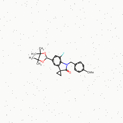 COc1ccc(CN2C(=O)C3(CC3)c3cc(B4OC(C)(C)C(C)(C)O4)cc(F)c32)cc1